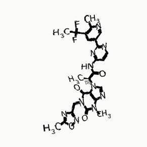 Cc1nc(Cn2c(=O)c3c(ncn3[C@@H](C)C(=O)Nc3ccnc(-c4cnc(C)c(C(C)(F)F)c4)n3)n(C)c2=O)no1